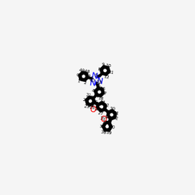 c1ccc(-c2nc(-c3ccccc3)nc(-c3cccc(-c4cccc5oc6cc(-c7cccc8c7oc7ccccc78)ccc6c45)c3)n2)cc1